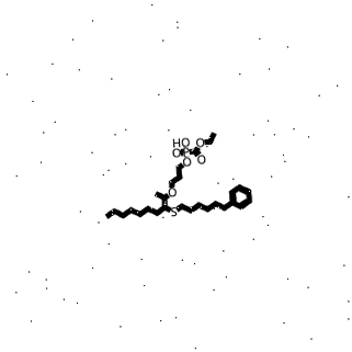 CCCCCCCC(SCCCCCCc1ccccc1)C(C)OCCCOP(=O)(O)C(=O)OCC